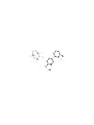 Cn1ncc2ccc(F)c(-c3c(Cl)c(OC[C@H]4NC[C@@H]5CC[C@H]4N5C(=O)O)c4c(O)nc(Cl)nc4c3F)c21